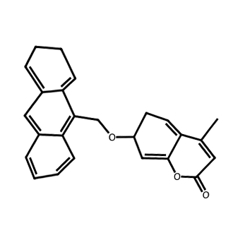 Cc1cc(=O)oc2c1=CCC(OCc1c3c(cc4ccccc14)=CCCC=3)C=2